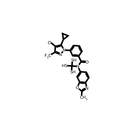 Cc1nc2ccc(N(C(=O)c3cccc(-n4nc(C(F)(F)F)c(Cl)c4C4CC4)c3)C(S)(S)S)cc2o1